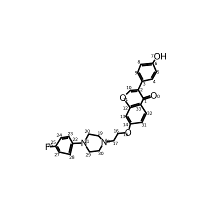 O=c1c(-c2ccc(O)cc2)coc2cc(OCCN3CCN(c4ccc(F)cc4)CC3)ccc12